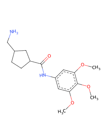 COc1cc(NC(=O)C2CCC(CN)C2)cc(OC)c1OC